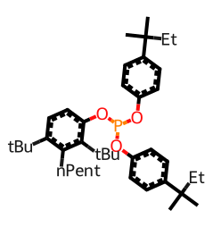 CCCCCc1c(C(C)(C)C)ccc(OP(Oc2ccc(C(C)(C)CC)cc2)Oc2ccc(C(C)(C)CC)cc2)c1C(C)(C)C